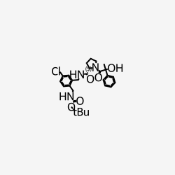 CC(C)(C)OC(=O)NCc1ccc(Cl)cc1CNC(=O)[C@@H]1CCCN1C(=O)C(C)(O)c1ccccc1